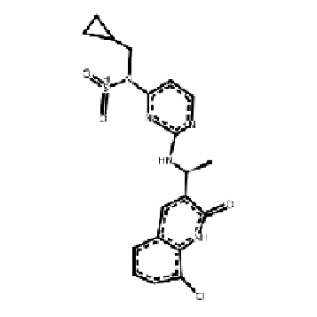 C[C@H](Nc1nccc(N(CC2CC2)[SH](=O)=O)n1)c1cc2cccc(Cl)c2[nH]c1=O